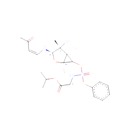 CC(=O)/C=C\N[C@@H]1O[C@@H]2C(OP(=O)(N[C@H](C)C(=O)OC(C)C)Oc3ccccc3)[C@]2(O)[C@@]1(C)N